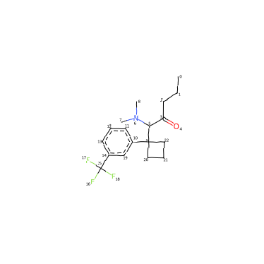 CCCC(=O)C(N(C)C)C1(c2cccc(C(F)(F)F)c2)CCC1